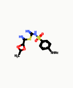 CC(=O)Nc1ccc(S(=O)(=O)NC(=N)SC(=N)C2OC(C)O2)cc1